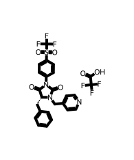 O=C(O)C(F)(F)F.O=C1[C@@H](Cc2ccccc2)N(Cc2ccncc2)C(=O)N1c1ccc(S(=O)(=O)C(F)(F)F)cc1